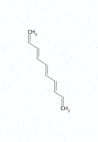 C=C/C=C/C=C/C=C/C=C